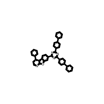 c1ccc(-c2ccc(-c3nc(-c4ccc(-c5ccccc5)cc4)nc(-c4ccc5c(c4)oc4nccc(-c6ccccc6)c45)n3)cc2)cc1